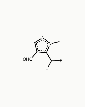 Cn1ncc(C=O)c1C(F)F